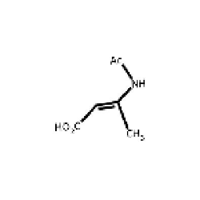 CC(=O)NC(C)=CC(=O)O